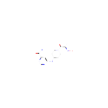 CC(=NO)C(=O)N1CCC(Nc2cc(C(N)=O)ncn2)CC1